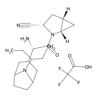 CCC(CC)N1C2CCC1CC([C@H](N)C(=O)N1[C@H](C#N)C[C@@H]3C[C@@H]31)C2.O=C(O)C(F)(F)F